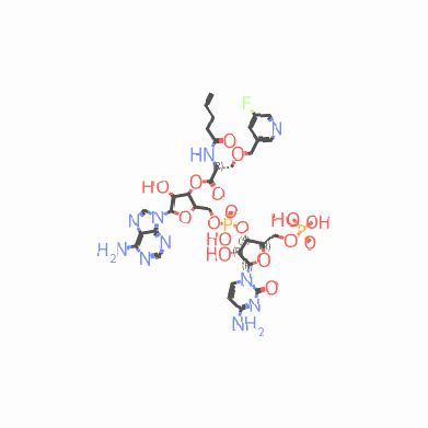 C=CCCC(=O)N[C@H](COCc1cncc(F)c1)C(=O)OC1C(COP(=O)(O)O[C@H]2[C@@H](O)[C@H](n3ccc(N)nc3=O)O[C@@H]2COP(=O)(O)O)OC(n2cnc3c(N)ncnc32)C1O